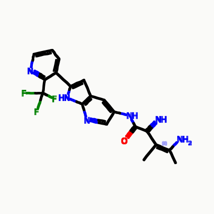 C/C(N)=C(\C)C(=N)C(=O)Nc1cnc2[nH]c(-c3cccnc3C(F)(F)F)cc2c1